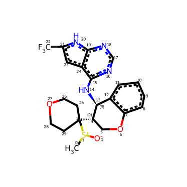 C[S+]([O-])C1([C@H]2COc3ccccc3[C@@H]2Nc2ncnc3[nH]c(C(F)(F)F)cc23)CCOCC1